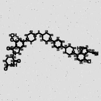 COc1nc(N2CCN(CC3CCN(c4ccc(C5CCN(c6ccc(Cl)c7c(C#N)c[nH]c67)CC5)cc4)CC3)CC2)cc2c1C(=O)N([C@@H]1CCC(=O)NC1=O)C2